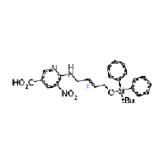 CC(C)(C)[Si](OC/C=C/CNc1ncc(C(=O)O)cc1[N+](=O)[O-])(c1ccccc1)c1ccccc1